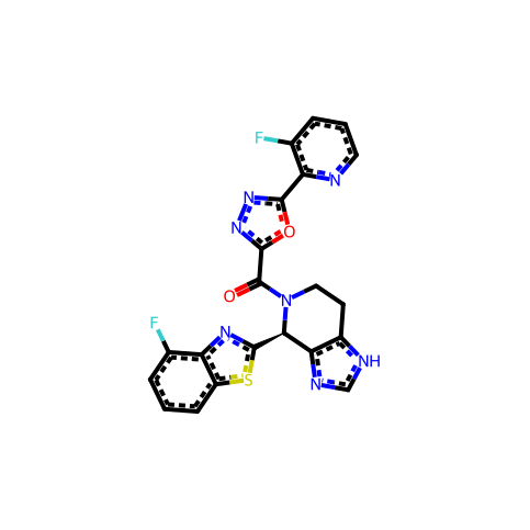 O=C(c1nnc(-c2ncccc2F)o1)N1CCc2[nH]cnc2[C@H]1c1nc2c(F)cccc2s1